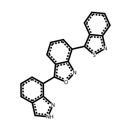 c1cc(-c2onc3c(-c4snc5ccccc45)cccc23)c2n[nH]cc2c1